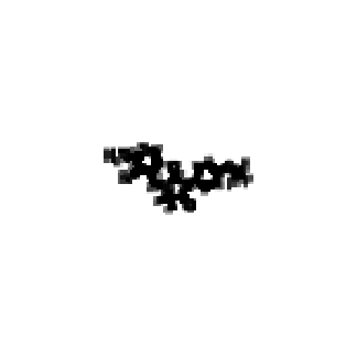 CC1(C)C(=O)N(c2ccc(SC(F)(F)F)cc2)C(=O)N1Cc1ccnc(N)c1Br